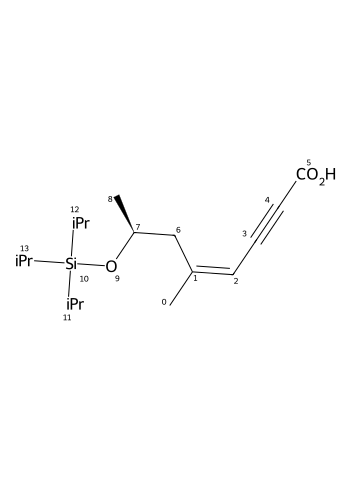 CC(=CC#CC(=O)O)C[C@H](C)O[Si](C(C)C)(C(C)C)C(C)C